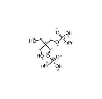 CCCP(=O)(O)OCC(CO)(CO)COP(=O)(O)CCC